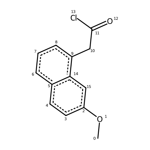 COc1ccc2cccc(CC(=O)Cl)c2c1